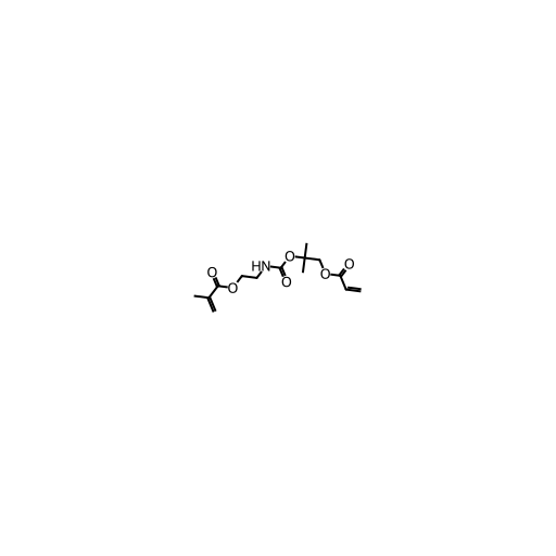 C=CC(=O)OCC(C)(C)OC(=O)NCCOC(=O)C(=C)C